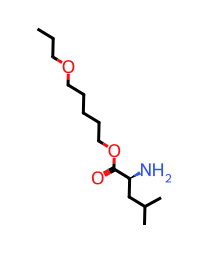 CCCOCCCCCOC(=O)[C@@H](N)CC(C)C